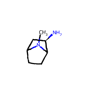 CN1C2CCC1[C@H](N)C2